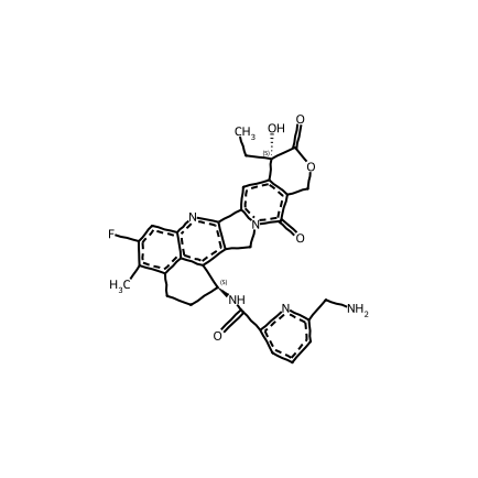 CC[C@@]1(O)C(=O)OCc2c1cc1n(c2=O)Cc2c-1nc1cc(F)c(C)c3c1c2[C@@H](NC(=O)c1cccc(CN)n1)CC3